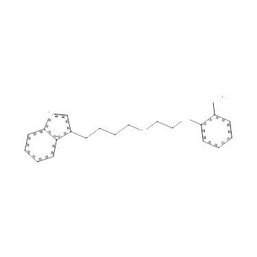 COc1ccccc1OCCNCCCCc1c[nH]c2ccccc12